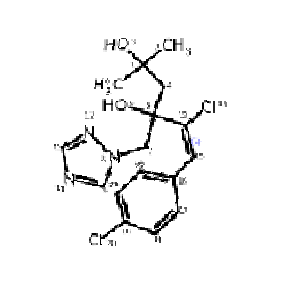 CC(C)(O)CC(O)(Cn1cncn1)/C(Cl)=C\c1ccc(Cl)cc1